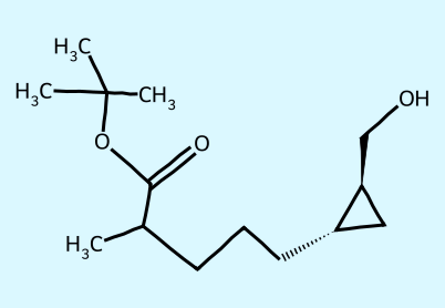 CC(CCC[C@H]1C[C@@H]1CO)C(=O)OC(C)(C)C